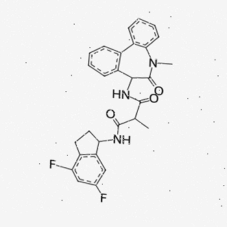 CC(C(=O)NC1CCc2c(F)cc(F)cc21)C(=O)NC1C(=O)N(C)c2ccccc2-c2ccccc21